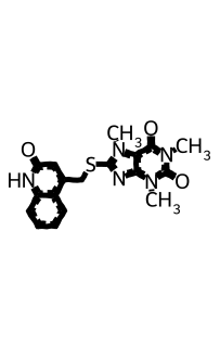 Cn1c(=O)c2c(nc(SCc3cc(=O)[nH]c4ccccc34)n2C)n(C)c1=O